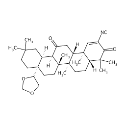 [C-]#[N+]C1=C[C@]2(C)[C@H]3CC(=O)[C@@H]4[C@@H]5CC(C)(C)CC[C@]5(C5COCO5)CC[C@@]4(C)[C@]3(C)CC[C@H]2C(C)(C)C1=O